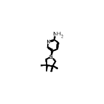 CC1(C)CB(c2ccc(N)nc2)CC1(C)C